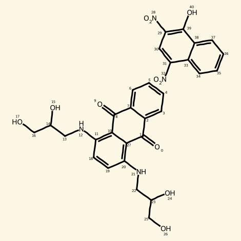 O=C1c2ccccc2C(=O)c2c(NCC(O)CO)ccc(NCC(O)CO)c21.O=[N+]([O-])c1cc([N+](=O)[O-])c2ccccc2c1O